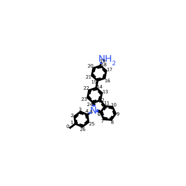 Cc1ccc(-n2c3ccccc3c3cc(-c4ccc(N)cc4)ccc32)cc1